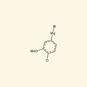 COc1c[c]([Mg][Br])ccc1Cl